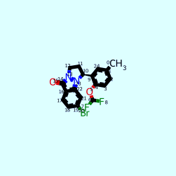 Cc1ccc(OC(F)F)c([C@@H]2CCn3c(=O)c4ccc(Br)cc4n32)c1